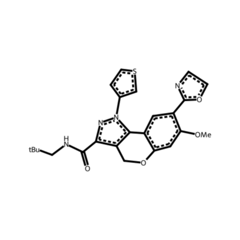 COc1cc2c(cc1-c1ncco1)-c1c(c(C(=O)NCC(C)(C)C)nn1-c1ccsc1)CO2